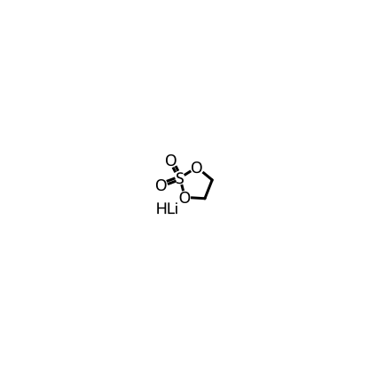 O=S1(=O)OCCO1.[LiH]